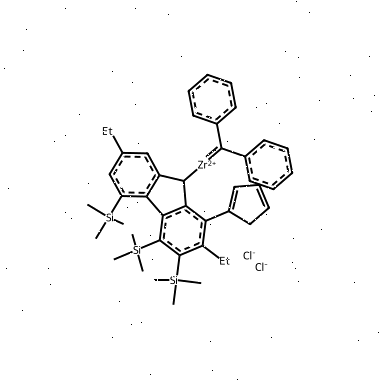 CCc1cc2c(c([Si](C)(C)C)c1)-c1c(c(C3=CC=CC3)c(CC)c([Si](C)(C)C)c1[Si](C)(C)C)[CH]2[Zr+2]=[C](c1ccccc1)c1ccccc1.[Cl-].[Cl-]